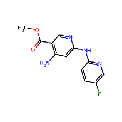 COC(=O)c1cnc(Nc2ccc(F)cn2)cc1N